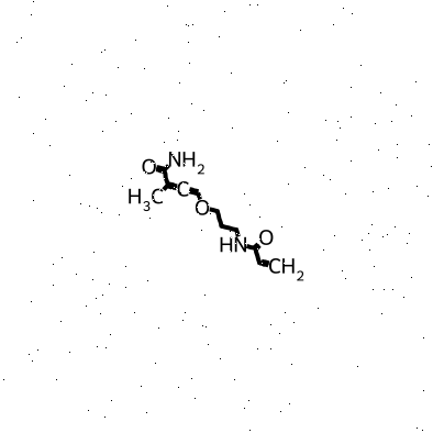 C=CC(=O)NCCCOC=C=C(C)C(N)=O